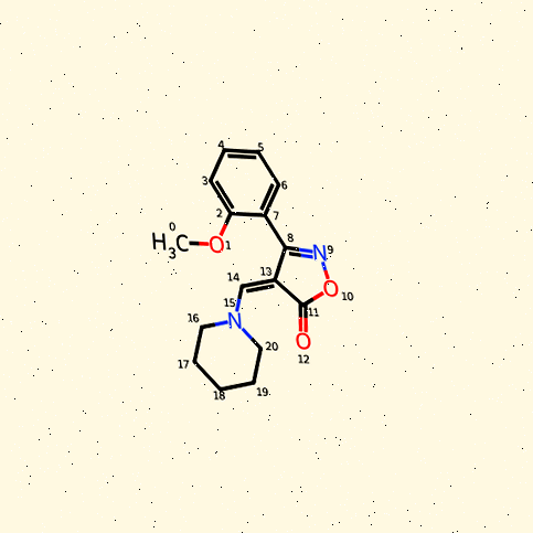 COc1ccccc1C1=NOC(=O)/C1=C\N1CCCCC1